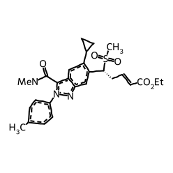 CCOC(=O)C=CC[C@H](c1cc2nn(-c3ccc(C)cc3)c(C(=O)NC)c2cc1C1CC1)S(C)(=O)=O